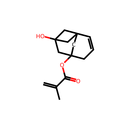 C=C(C)C(=O)OC12CC=CC3(CC(O)(C3)C1)C2